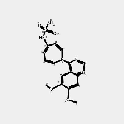 COc1cc2ncnc(N3C=CC=C(NS(N)(=O)=O)C=C3)c2cc1OC